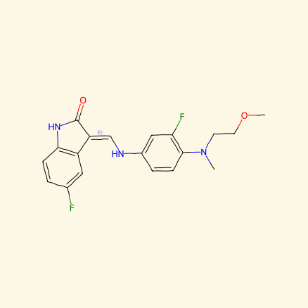 COCCN(C)c1ccc(N/C=C2/C(=O)Nc3ccc(F)cc32)cc1F